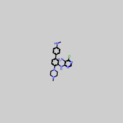 CNc1ccc(-c2ccc(N3CCN(C)CC3)c(Nc3ncnc(Cl)c3N)c2)cc1